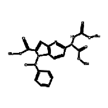 CC(C)(C)OC(=O)NN(C(=O)OC(C)(C)C)c1ccc2c(cc(C(=O)OC(C)(C)C)n2[S+]([O-])c2ccccc2)n1